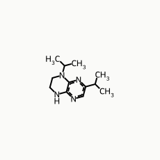 CC(C)c1cnc2c(n1)N(C(C)C)CCN2